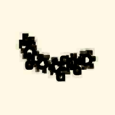 O=C(c1ccc(-c2cc(Cl)c(CN3CC[C@H](N4CCCCC4)C3=O)c(Cl)c2)cc1)N1CCC(C(F)(F)F)CC1